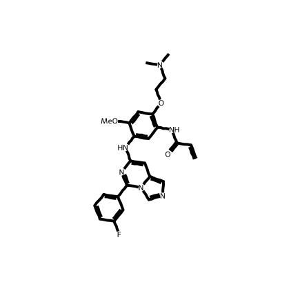 C=CC(=O)Nc1cc(Nc2cc3cncn3c(-c3cccc(F)c3)n2)c(OC)cc1OCCN(C)C